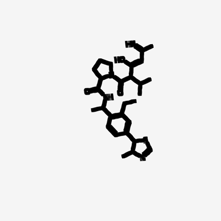 CCc1cc(C2SC=NC2C)ccc1C(C)NC(=O)C1CCCN1C(=O)C(/C(O)=C/C(C)=N)C(C)C